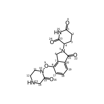 O=C1CCC(N2Cc3c(ON4CCNCC4=O)cccc3C2=O)C(=O)N1